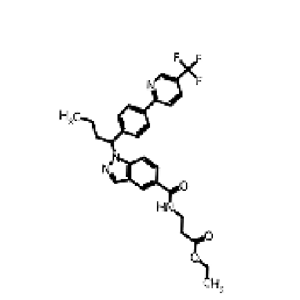 CCCC(c1ccc(-c2ccc(C(F)(F)F)cn2)cc1)n1ncc2cc(C(=O)NCCC(=O)OCC)ccc21